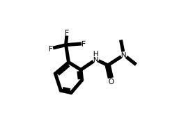 CN(C)C(=O)Nc1ccccc1C(F)(F)F